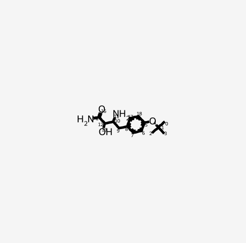 CC(C)(C)Oc1ccc(CC(N)C(O)C(N)=O)cc1